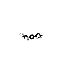 CC(C)(CNc1ccc(C2=NNC(=O)CC2)cc1)[N+](=O)[O-]